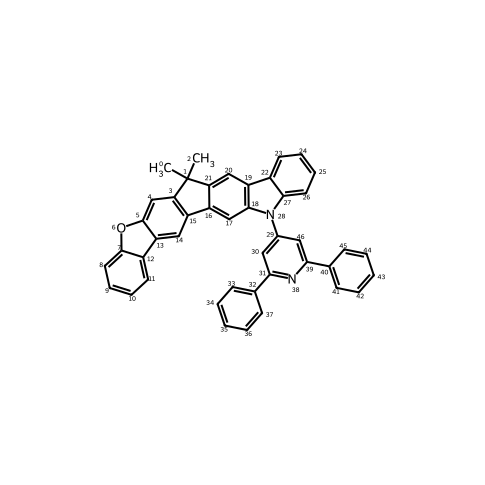 CC1(C)c2cc3oc4ccccc4c3cc2-c2cc3c(cc21)c1ccccc1n3-c1cc(-c2ccccc2)nc(-c2ccccc2)c1